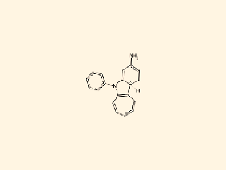 NC1=CC[C@@H]2C(=C1)N(c1ccccc1)C1=C2C=C=CC=C1